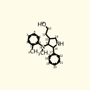 Cc1ccccc1N(C)C1C(CCO)CNC1c1ccccc1